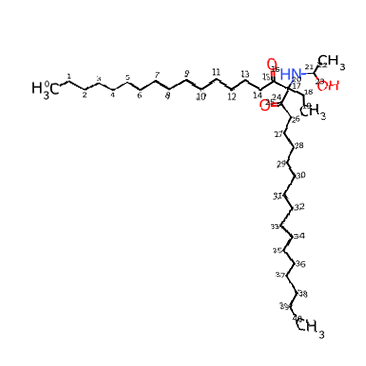 CCCCCCCCCCCCCCCC(=O)C(CC)(NC(C)O)C(=O)CCCCCCCCCCCCCCC